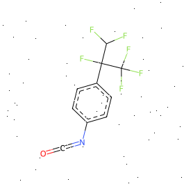 O=C=Nc1ccc(C(F)(C(F)F)C(F)(F)F)cc1